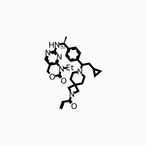 C=CC(=O)N1CC2(CCN(C(CC3CC3)c3ccc([C@H](C)Nc4ncc5c(n4)N(CC)C(=O)OC5)cc3)CC2)C1